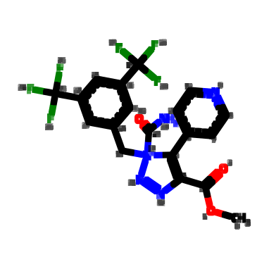 COC(=O)C1=C(c2ccncc2)[N+](Cc2cc(C(F)(F)F)cc(C(F)(F)F)c2)(C(N)=O)N=N1